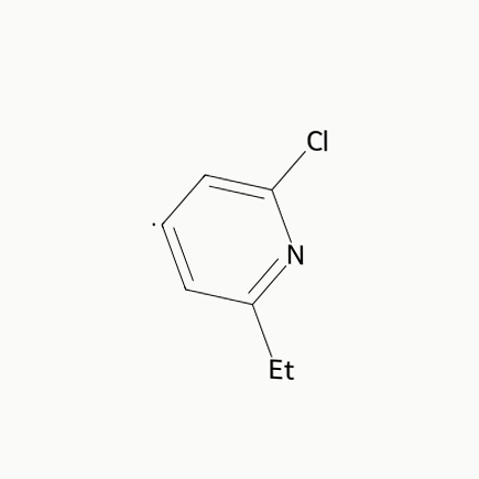 CCc1c[c]cc(Cl)n1